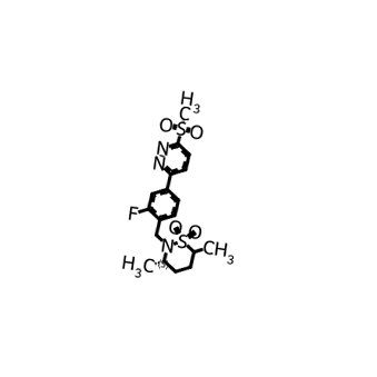 CC1CC[C@H](C)N(Cc2ccc(-c3ccc(S(C)(=O)=O)nn3)cc2F)S1(=O)=O